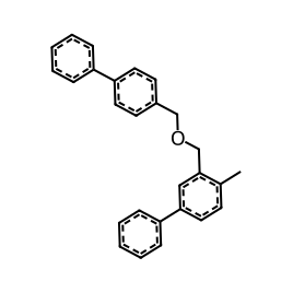 Cc1ccc(-c2ccccc2)cc1COCc1ccc(-c2ccccc2)cc1